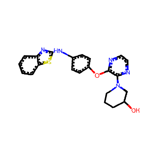 OC1CCCN(c2nccnc2Oc2ccc(Nc3nc4ccccc4s3)cc2)C1